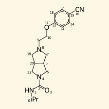 CC(C)NC(=O)N1CC2CN(CCOc3ccc(C#N)cc3)CC2C1